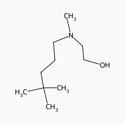 CN(CCO)CCCC(C)(C)C